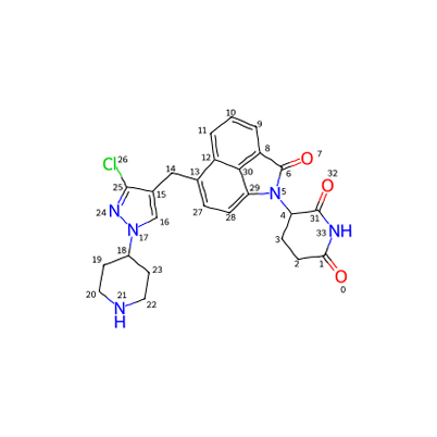 O=C1CCC(N2C(=O)c3cccc4c(Cc5cn(C6CCNCC6)nc5Cl)ccc2c34)C(=O)N1